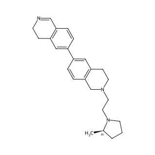 C[C@@H]1CCCN1CCN1CCc2cc(-c3ccc4c(c3)CCN=C4)ccc2C1